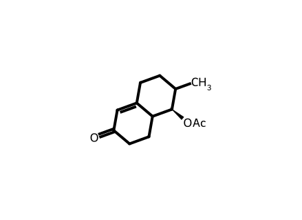 CC(=O)O[C@@H]1C(C)CCC2=CC(=O)CCC21